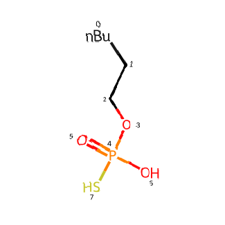 CCCCCCOP(=O)(O)S